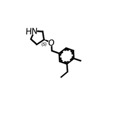 CCc1cc(CO[C@H]2CCNC2)ccc1C